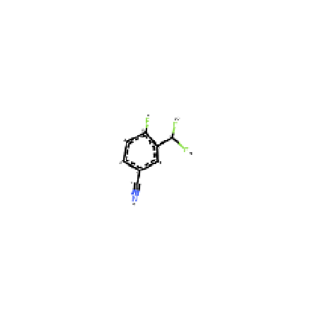 N#Cc1ccc(F)c(C(F)F)c1